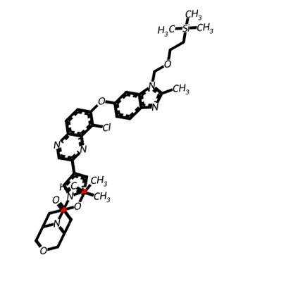 Cc1nc2ccc(Oc3ccc4ncc(-c5cnn(C6CC7COCC(C6)N7C(=O)OC(C)(C)C)c5)nc4c3Cl)cc2n1COCC[Si](C)(C)C